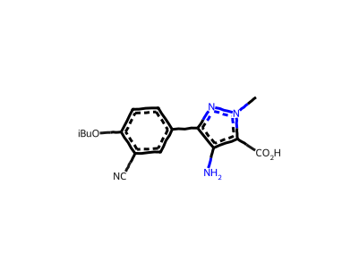 CC(C)COc1ccc(-c2nn(C)c(C(=O)O)c2N)cc1C#N